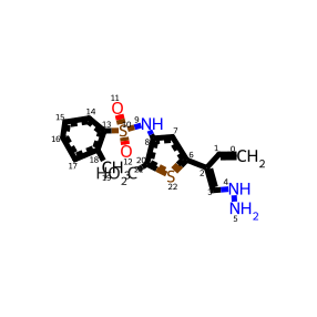 C=C/C(=C\NN)c1cc(NS(=O)(=O)c2ccccc2C)c(C(=O)O)s1